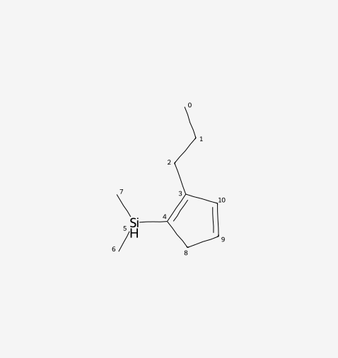 CCCC1=C([SiH](C)C)CC=C1